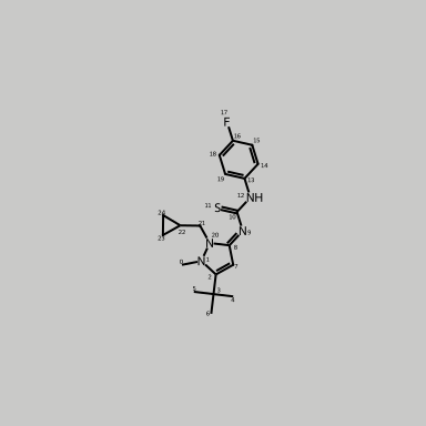 Cn1c(C(C)(C)C)cc(=NC(=S)Nc2ccc(F)cc2)n1CC1CC1